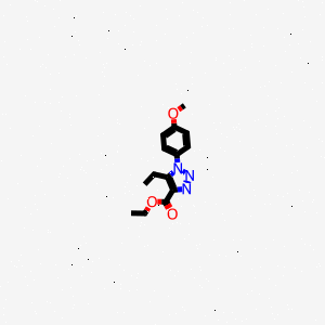 CCOC(=O)c1nnn(-c2ccc(OC)cc2)c1CC